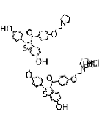 COc1ccc(-c2sc3cc(O)ccc3c2C(=O)c2ccc(OCCN3CCCCC3)cc2)cc1.Cl.Cl.O=C(c1ccc(OCCN2CCCC2)cc1)c1c(-c2ccc(O)cc2)sc2cc(O)ccc12